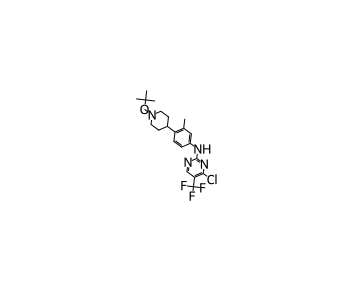 Cc1cc(Nc2ncc(C(F)(F)F)c(Cl)n2)ccc1C1CCN(OC(C)(C)C)CC1